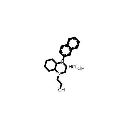 Cl.Cl.OCCN1CCN(c2ccc3ccccc3c2)C2CCCCC21